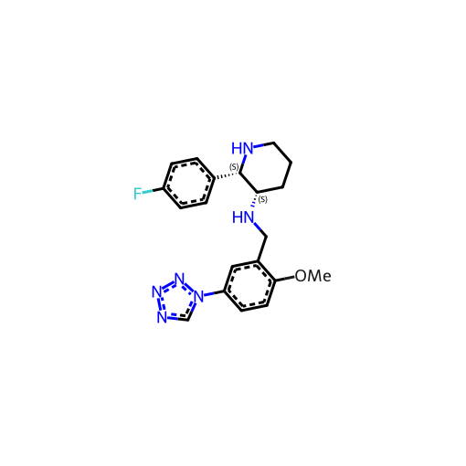 COc1ccc(-n2cnnn2)cc1CN[C@H]1CCCN[C@H]1c1ccc(F)cc1